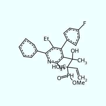 C=CC(C(=O)O)([PH](=O)OC)C(C)(O)c1c(C(C)C)nc(-c2ccccc2)c(CC)c1-c1ccc(F)cc1